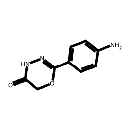 Nc1ccc(C2=NNC(=O)CO2)cc1